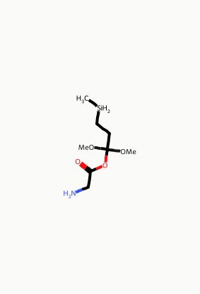 COC(CC[SiH2]C)(OC)OC(=O)CN